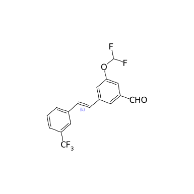 O=Cc1cc(/C=C/c2cccc(C(F)(F)F)c2)cc(OC(F)F)c1